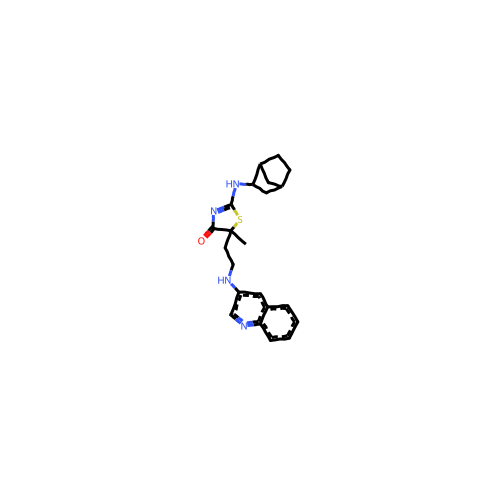 CC1(CCNc2cnc3ccccc3c2)SC(NC2CC3CCC2C3)=NC1=O